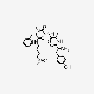 C[C@@H](NC(=O)[C@@H](N)Cc1ccc(O)cc1)C(=O)NCC(=O)N(C)[C@@H](Cc1ccccc1)C(=O)NCCCC[S+](C)[O-]